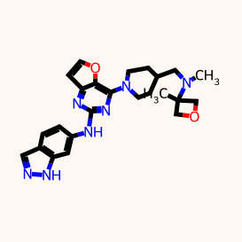 CN(CC1CCN(c2nc(Nc3ccc4cn[nH]c4c3)nc3ccoc23)CC1)C1(C)COC1